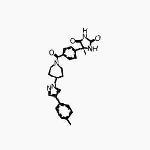 Cc1ccc(-c2cnn(C3CCN(C(=O)c4ccc([C@@]5(C)NC(=O)NC5=O)cc4)CC3)c2)cc1